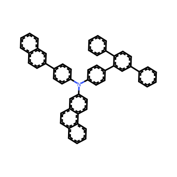 c1ccc(-c2ccc(-c3ccccc3)c(-c3ccc(N(c4ccc(-c5ccc6ccccc6c5)cc4)c4ccc5c(ccc6ccccc65)c4)cc3)c2)cc1